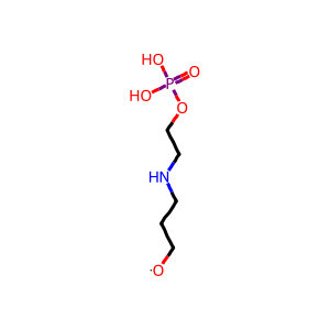 [O]CCCNCCOP(=O)(O)O